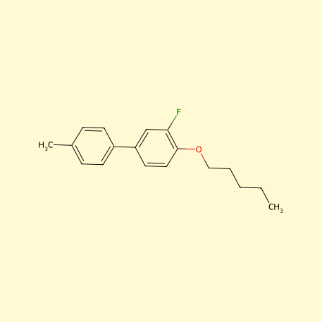 CCCCCOc1ccc(-c2ccc(C)cc2)cc1F